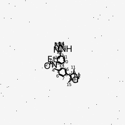 CCC(=O)N(Cc1ccc(-c2c(C)noc2C)cc1)c1cccc(-c2nnn[nH]2)c1